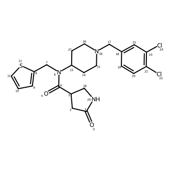 O=C1CC(C(=O)N(Cc2cccs2)C2CCN(Cc3ccc(Cl)c(Cl)c3)CC2)CN1